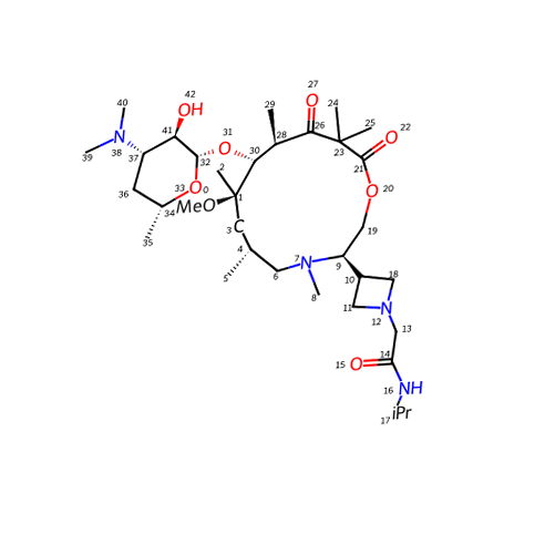 CO[C@]1(C)C[C@@H](C)CN(C)[C@H](C2CN(CC(=O)NC(C)C)C2)COC(=O)C(C)(C)C(=O)[C@H](C)[C@H]1O[C@@H]1O[C@H](C)C[C@H](N(C)C)[C@H]1O